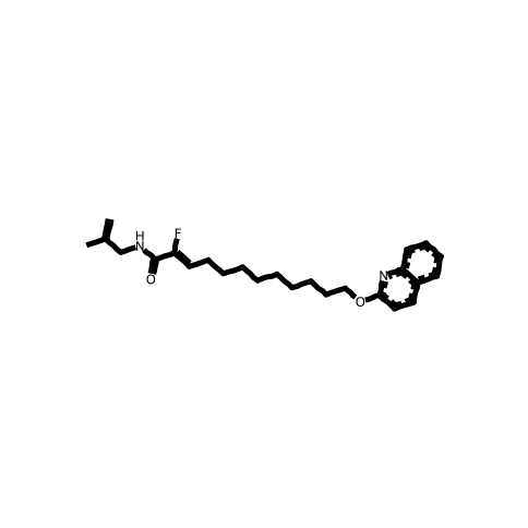 C=C(C)CNC(=O)C(F)=CCCCCCCCCCOc1ccc2ccccc2n1